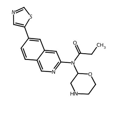 CCC(=O)N(c1cc2cc(-c3cncs3)ccc2cn1)C1CNCCO1